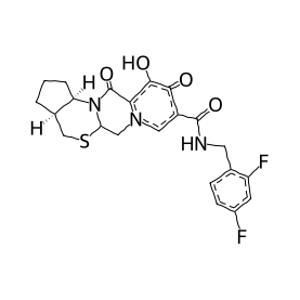 O=C(NCc1ccc(F)cc1F)c1cn2c(c(O)c1=O)C(=O)N1C(C2)SC[C@H]2CCC[C@H]21